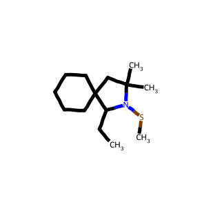 CCC1N(SC)C(C)(C)CC12CCCCC2